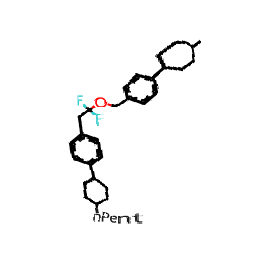 CCCCCC1CCC(c2ccc(CC(F)(F)OCc3ccc(C4CCC(C)CC4)cc3)cc2)CC1